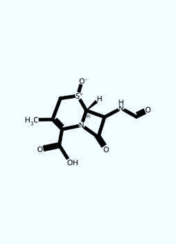 CC1=C(C(=O)O)N2C(=O)C(NC=O)[C@H]2[S+]([O-])C1